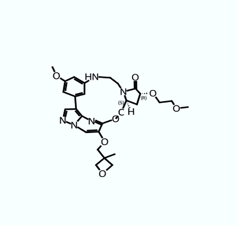 COCCO[C@@H]1C[C@H]2COc3nc4c(cnn4cc3OCC3(C)COC3)-c3cc(cc(OC)c3)NCCN2C1=O